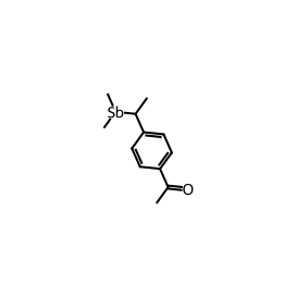 CC(=O)c1ccc([CH](C)[Sb]([CH3])[CH3])cc1